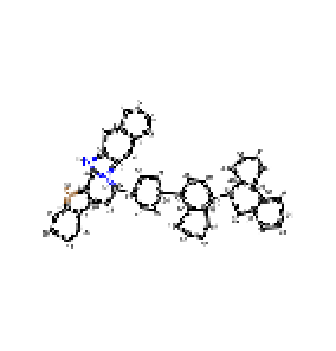 c1ccc2cc3c(cc2c1)nc1c2sc4ccccc4c2cc(-c2ccc(-c4ccc(-c5cc6ccccc6c6ccccc56)c5ccccc45)cc2)n31